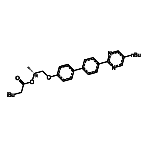 CCCCc1cnc(-c2ccc(-c3ccc(OC[C@@H](C)OC(=O)CC(C)CC)cc3)cc2)nc1